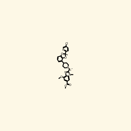 COC(=O)c1cc(OC)c2nc([C@@H](C)N3CCC(c4cccc5c4O[C@@](C)(c4ccc(Cl)cn4)O5)CC3)n(C)c2c1